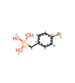 O[PH](O)(O)Cc1ccc(Br)cc1